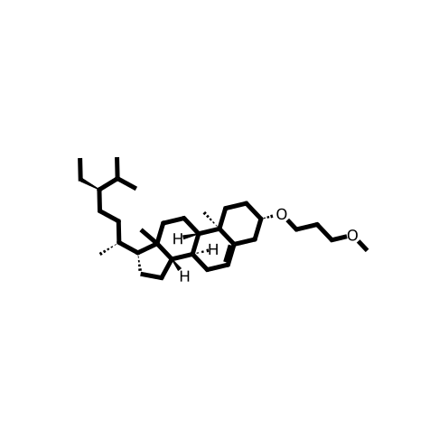 CC[C@H](CC[C@@H](C)[C@H]1CC[C@H]2[C@@H]3CC=C4C[C@@H](OCCCOC)CC[C@]4(C)[C@H]3CCC12C)C(C)C